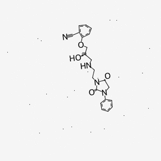 N#Cc1ccccc1OC[C@H](O)CNCCN1C(=O)CN(c2ccccc2)C1=O